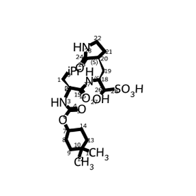 CC(C)C[C@H](NC(=O)OC1CCC(C)(C)CC1)C(=O)N[C@@H](C[C@@H]1CCNC1=O)C(O)S(=O)(=O)O